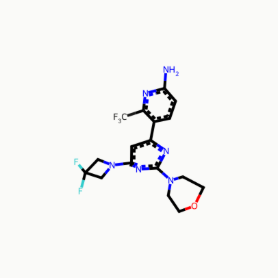 Nc1ccc(-c2cc(N3CC(F)(F)C3)nc(N3CCOCC3)n2)c(C(F)(F)F)n1